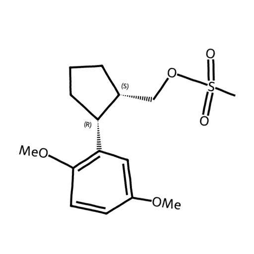 COc1ccc(OC)c([C@@H]2CCC[C@@H]2COS(C)(=O)=O)c1